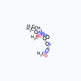 COc1ccc(C(C)(C)C)cc1NC(=O)Nc1ccc(-c2ccc(CN3CCN(C(C)=O)CC3)nc2)c2ccccc12